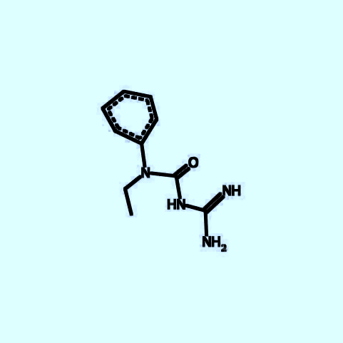 CCN(C(=O)NC(=N)N)c1ccccc1